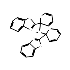 [O-][S+](C1(c2nc3ccccc3[nH]2)C=CC=CN1)C1(c2nc3ccccc3[nH]2)C=CC=CN1